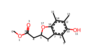 COC(=O)CC1Cc2c(C)c(O)c(C)c(C)c2O1